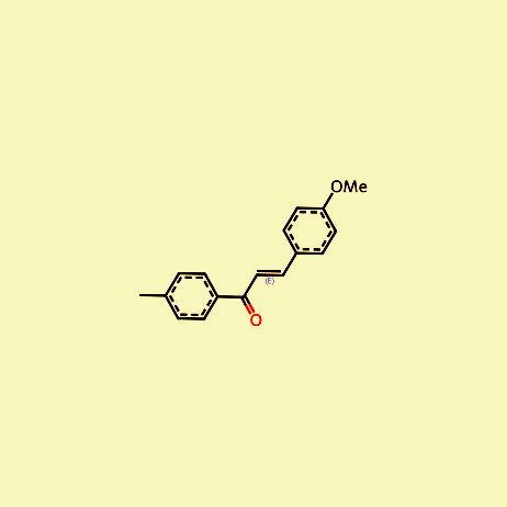 COc1ccc(/C=C/C(=O)c2ccc(C)cc2)cc1